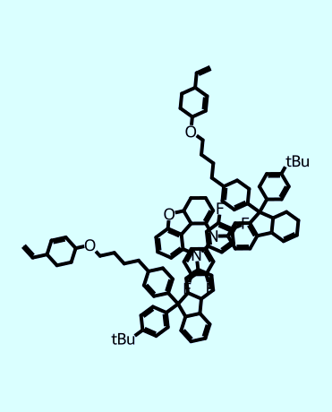 C=CC1C=CC(OCCCCC2=CC=C(C3(C4C=CC(C(C)(C)C)=CC4)c4cc(N(C5=CCCC6Oc7cccc(N(C8=CC9C(C=C8)C8C=CC=CC8C9(C8=CCC(CCCCOC9C=CC(C=C)CC9)C=C8)c8ccc(C(C)(C)C)cc8)c8ccc(F)c(F)c8)c7C56)c5ccc(F)c(F)c5)ccc4C4C=CCCC43)CC2)CC1